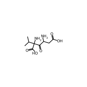 CC(C)C(N)(C(=O)O)C(=O)C(N)CC(=O)O